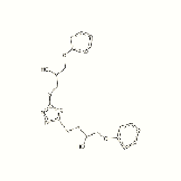 OC(COc1ccccc1)CSc1nnc(SCC(O)COc2ccccc2)s1